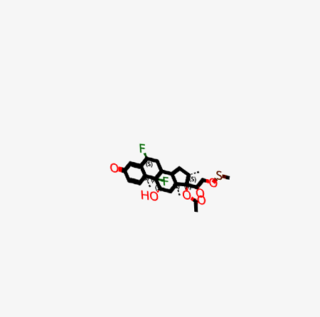 CSOCC(=O)[C@@]1(OC(C)=O)[C@@H](C)CC2C3C[C@H](F)C4=CC(=O)C=C[C@]4(C)[C@@]3(F)[C@@H](O)C[C@@]21C